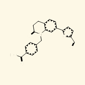 O=Cc1ccc(-c2ccc3c(c2)N(Cc2ccc(C(=O)O)cc2)C(=O)CC3)o1